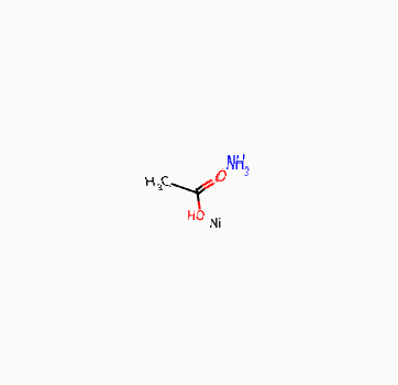 CC(=O)O.N.[Ni]